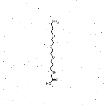 NCCCOCCOCCOCCCNCC(=O)O